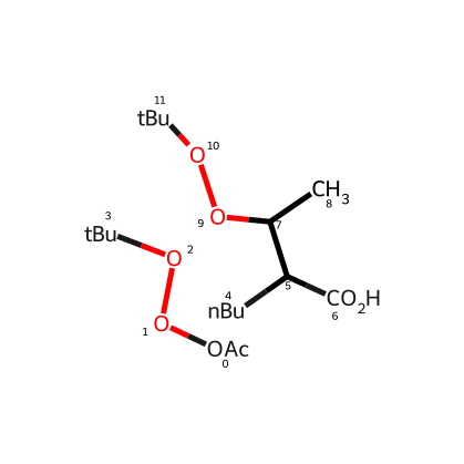 CC(=O)OOOC(C)(C)C.CCCCC(C(=O)O)C(C)OOC(C)(C)C